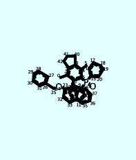 Cc1c2c(c(C)c(P(=O)(c3ccccc3)c3ccccc3)c1-c1c(OCc3ccccc3)ccc3ccccc13)CCC2